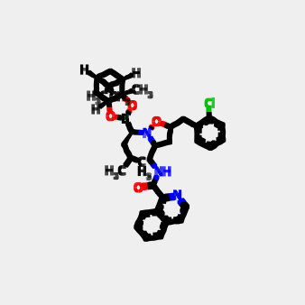 CC(C)C[C@@H](B1O[C@@H]2C[C@@H]3C[C@@H](C3(C)C)[C@]2(C)O1)N1OC(Cc2ccccc2Cl)CC1CNC(=O)c1nccc2ccccc12